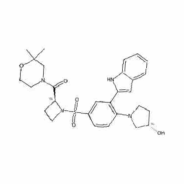 CC1(C)CN(C(=O)[C@@H]2CCN2S(=O)(=O)c2ccc(N3CC[C@H](O)C3)c(-c3cc4ccccc4[nH]3)c2)CCO1